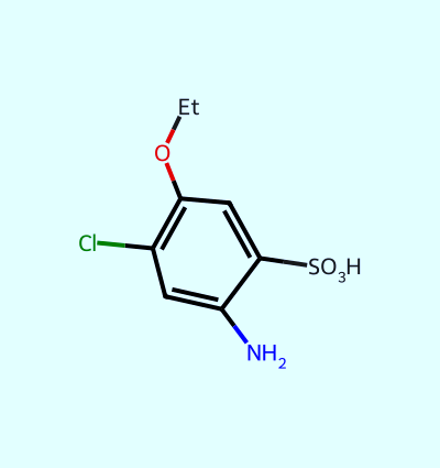 CCOc1cc(S(=O)(=O)O)c(N)cc1Cl